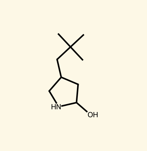 CC(C)(C)CC1CNC(O)C1